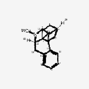 N#CN1CC[C@]23C[C@H]4C=C[C@@]2(CC4)[C@H]1Cc1ccccc13